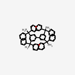 PC(c1ccccc1)(c1ccccc1)c1cc(-c2cc(C(P)(c3ccccc3)c3ccccc3)cc(C(P)(c3ccccc3)c3ccccc3)c2)cc(C(P)(c2ccccc2)c2ccccc2)c1